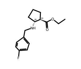 CCOC(=O)[C@@H]1CCC[C@H]1NCc1ccc(F)cc1